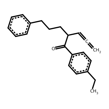 C=C=CC(CCCc1ccccc1)C(=O)c1ccc(CC)cc1